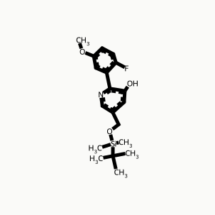 COc1ccc(F)c(-c2ncc(CO[Si](C)(C)C(C)(C)C)cc2O)c1